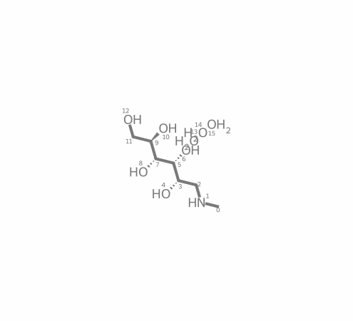 CNC[C@H](O)[C@@H](O)[C@H](O)[C@H](O)CO.O.O.O